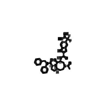 CC(=O)N1CC[C@H]2CC[C@@H](C(=O)N(Cc3ccccc3)c3ccccc3)N2C(=O)[C@@H](NC(=O)c2cc3cc(C(F)(F)P(O)O)ccc3[nH]2)C1